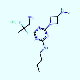 CC(F)(F)CN.CCCCNc1ncnc(N2CC(NC)C2)n1.Cl